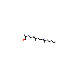 CCCCC/C(C)=C/CC/C(C)=C/CCC(C)C=O